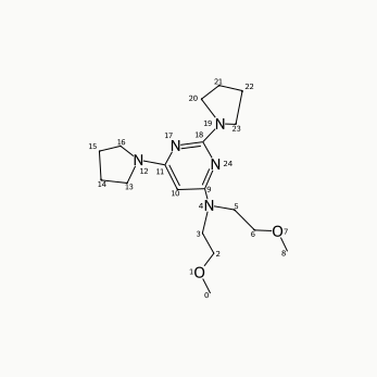 COCCN(CCOC)c1cc(N2CCCC2)nc(N2CCCC2)n1